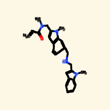 C=CC(=O)N(C)Cc1cc2ccc(CNCc3cc4ccccc4n3C)cc2n1C